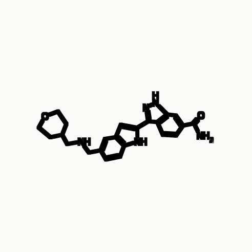 NC(=O)c1ccc2c(-c3cc4cc(CNCC5CCOCC5)ccc4[nH]3)n[nH]c2c1